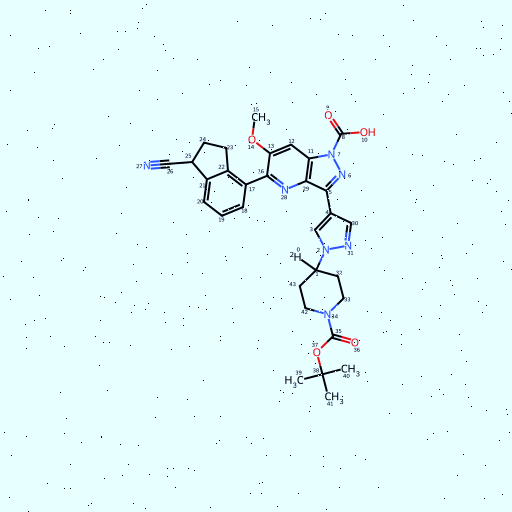 [2H]C1(n2cc(-c3nn(C(=O)O)c4cc(OC)c(-c5cccc6c5CCC6C#N)nc34)cn2)CCN(C(=O)OC(C)(C)C)CC1